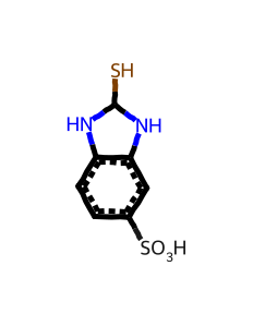 O=S(=O)(O)c1ccc2c(c1)NC(S)N2